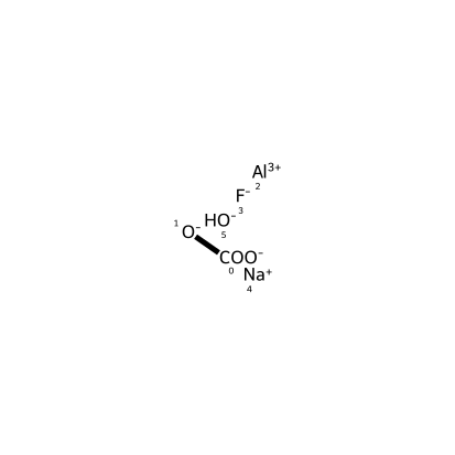 O=C([O-])[O-].[Al+3].[F-].[Na+].[OH-]